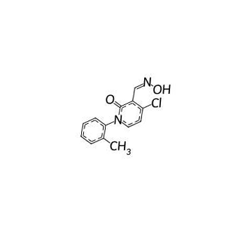 Cc1ccccc1-n1ccc(Cl)c(/C=N\O)c1=O